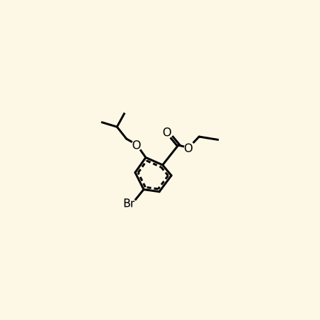 CCOC(=O)c1ccc(Br)cc1OCC(C)C